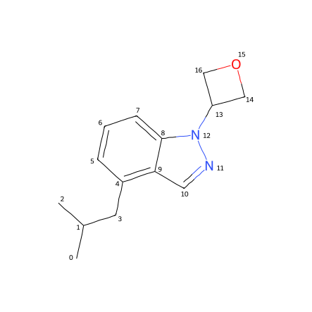 CC(C)Cc1cccc2c1cnn2C1COC1